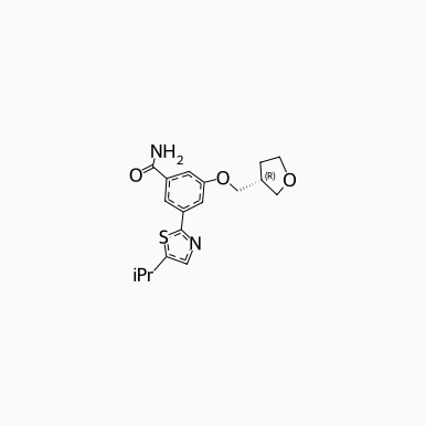 CC(C)c1cnc(-c2cc(OC[C@@H]3CCOC3)cc(C(N)=O)c2)s1